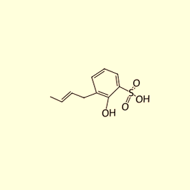 CC=CCc1cccc(S(=O)(=O)O)c1O